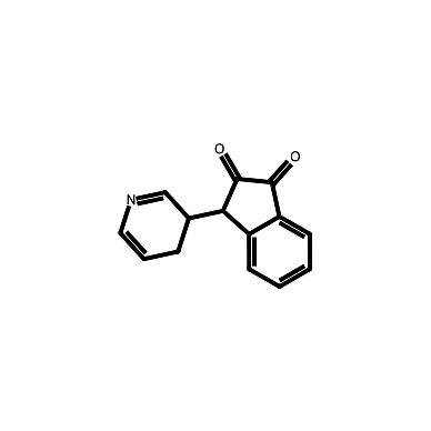 O=C1C(=O)C(C2C=NC=CC2)c2ccccc21